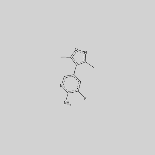 Cc1noc(C)c1-c1cnc(N)c(F)c1